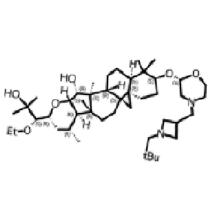 CCO[C@@H]([C@H]1C[C@@H](C)[C@H]2[C@H](O1)[C@H](O)[C@@]1(C)[C@@H]3CC[C@H]4C(C)(C)[C@@H](O[C@H]5CN(CC6CN(CC(C)(C)C)C6)CCO5)CC[C@@]45C[C@@]35CC[C@]21C)C(C)(C)O